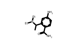 CCN(CC)C(C)c1cc(N)ccc1C(N)=O